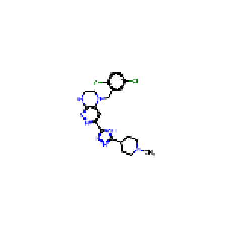 CN1CCC(c2nnc(-c3cc4c(nn3)NCCN4Cc3cc(Cl)ccc3Cl)[nH]2)CC1